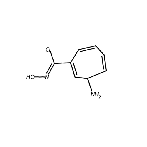 NC1C=CC=CC(/C(Cl)=N/O)=C1